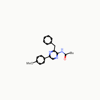 CCC(C)C(=O)Nc1ncc(-c2ccc(OC)cc2)nc1Cc1ccccc1